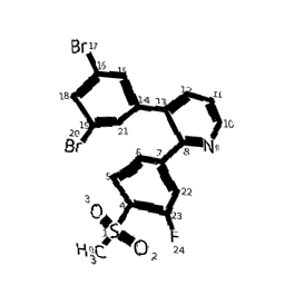 CS(=O)(=O)c1ccc(-c2ncccc2-c2cc(Br)cc(Br)c2)cc1F